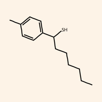 CCCCCCC(S)c1ccc(C)cc1